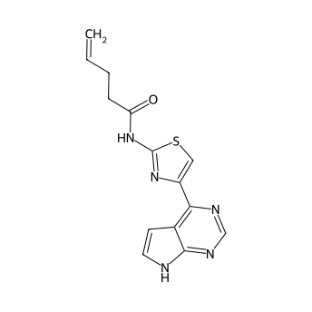 C=CCCC(=O)Nc1nc(-c2ncnc3[nH]ccc23)cs1